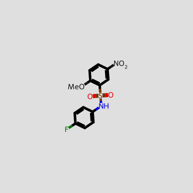 COc1ccc([N+](=O)[O-])cc1S(=O)(=O)Nc1ccc(F)cc1